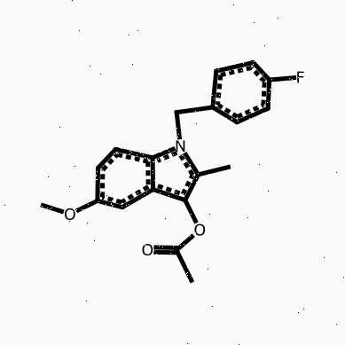 COc1ccc2c(c1)c(OC(C)=O)c(C)n2Cc1ccc(F)cc1